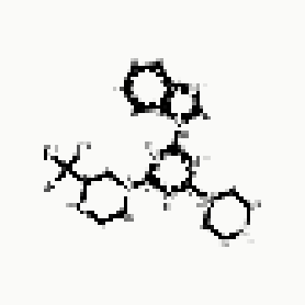 FC(F)(F)C1CN(c2nc(N3CCOCC3)nc(-n3cnc4ccccc43)n2)CCO1